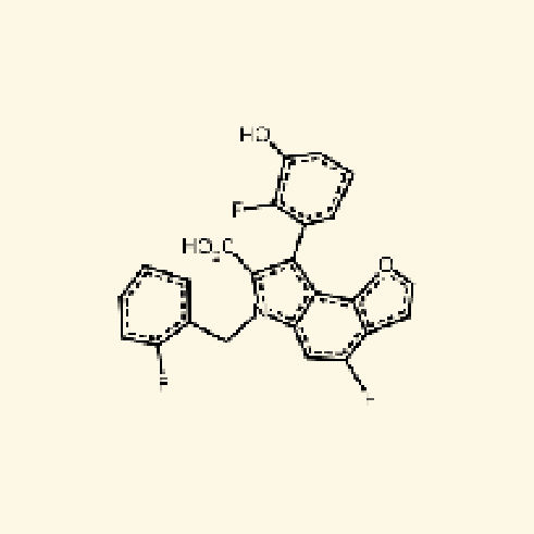 O=C(O)c1c(-c2cccc(O)c2F)c2c3occc3c(F)cc2n1Cc1ccccc1F